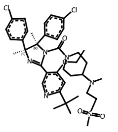 CCOc1cc(C(C)(C)C)ncc1C1=N[C@@](C)(c2ccc(Cl)cc2)[C@@](C)(c2ccc(Cl)cc2)N1C(=O)N1CCC(N(C)CCS(C)(=O)=O)CC1